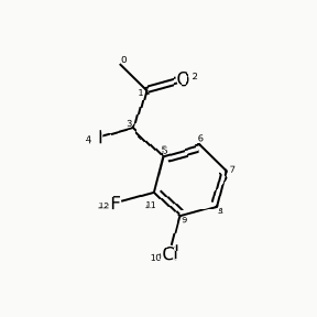 CC(=O)C(I)c1cccc(Cl)c1F